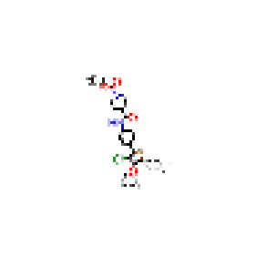 CC(C)(C)OC(=O)N1CCC(C(=O)Nc2ccc(-c3sc(C(=O)O)c(OCC(=O)O)c3Cl)cc2)CC1